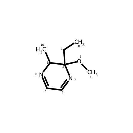 CCC1(OC)N=CC=NC1C